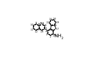 Nc1ccc(-c2cnc3ccccc3c2)c2c1Cc1ccccc1-2